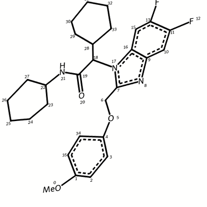 COc1ccc(OCc2nc3cc(F)c(F)cc3n2C(C(=O)NC2CCCCC2)C2CCCCC2)cc1